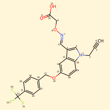 C#CCn1cc(C=NOCC(=O)O)c2cc(OCc3ccc(C(F)(F)F)cc3)ccc21